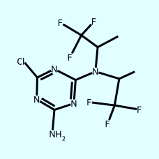 CC(N(c1nc(N)nc(Cl)n1)C(C)C(F)(F)F)C(F)(F)F